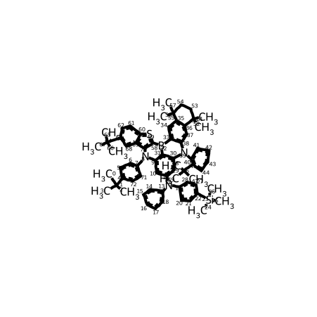 CC(C)(C)c1ccc(N2c3cc(N(c4ccccc4)c4ccc([Si](C)(C)C)cc4)cc4c3B(c3cc5c(cc3N4c3ccccc3C(C)(C)C)C(C)(C)CCC5(C)C)c3sc4ccc(C(C)(C)C)cc4c32)cc1